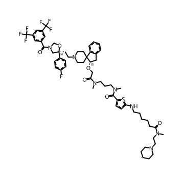 CN(CCN1CC[CH]CC1)C(=O)CCCCCNc1ccc(C(=O)N(C)CCCN(C)C(=O)CO[C@H]2Cc3ccccc3C23CCN(CC[C@]2(c4ccc(F)cc4)CN(C(=O)c4cc(C(F)(F)F)cc(C(F)(F)F)c4)CO2)CC3)s1